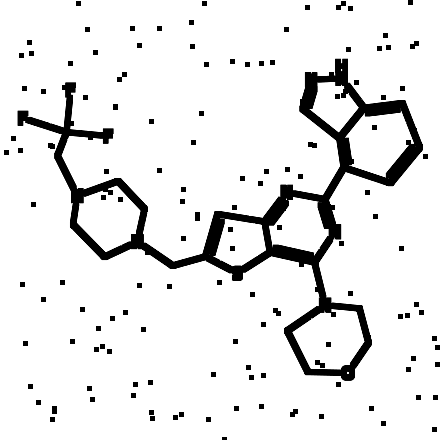 FC(F)(F)CN1CCN(Cc2cc3nc(-c4cccc5[nH]ncc45)nc(N4CCOCC4)c3s2)CC1